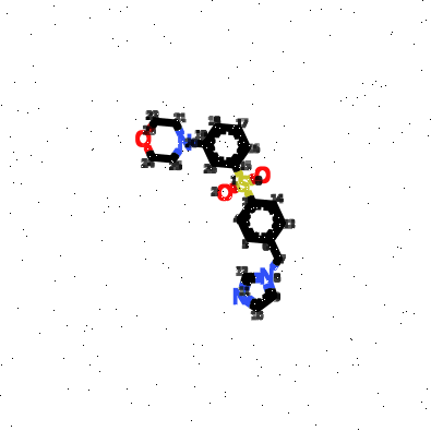 O=S(=O)(c1ccc(Cn2ccnc2)cc1)c1cccc(N2CCOCC2)c1